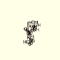 CCNC(=O)c1nnc(-c2cc(C(C)C)c(O)cc2O)n1-c1ccc(Oc2ccc(C(=O)N3CCC(CC)(N(CC)C(=O)Oc4ccc5nc6c(c(CC)c5c4)Cn4c-6cc5c(c4=O)COC(=O)C5O)CC3)cc2)cc1